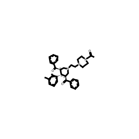 CC(=O)N1CCN(CCN2C[C@H](C(=O)c3ccccc3)[C@@H](c3cccc(C)c3C)[C@H](C(=O)c3ccccc3)C2)CC1